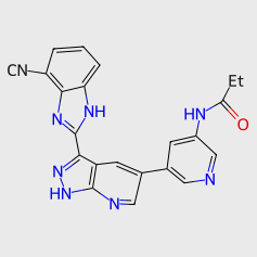 [C-]#[N+]c1cccc2[nH]c(-c3n[nH]c4ncc(-c5cncc(NC(=O)CC)c5)cc34)nc12